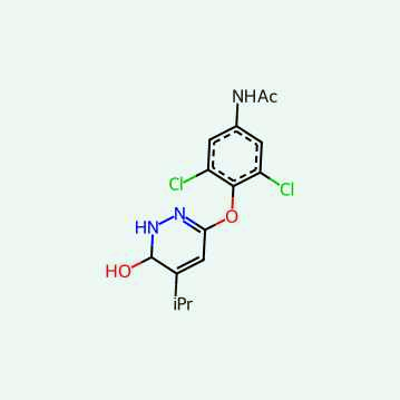 CC(=O)Nc1cc(Cl)c(OC2=NNC(O)C(C(C)C)=C2)c(Cl)c1